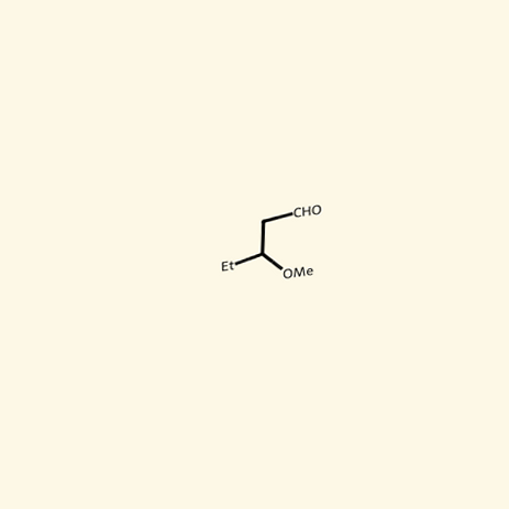 CCC(CC=O)OC